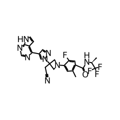 Cc1cc(N2CC(CC#N)(n3cc(-c4ncnc5[nH]ccc45)cn3)C2)c(F)cc1C(=O)N[C@@H](C)C(F)(F)F